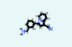 CN(C)Cc1cccc(-c2cc(C#N)c3ccccn23)c1